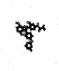 C=C(C)C(=O)Nc1ccc(-c2[nH]c3c(C#N)cnc(N)c3c2-c2ccc(Oc3nccc(C)n3)cc2)c(Cl)c1